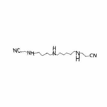 N#CCCNCCCCCCNCCCCCCNCCC#N